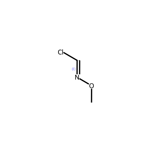 CO/N=[C]/Cl